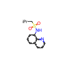 CC(C)CS(=O)(=O)Nc1cccc2cccnc12